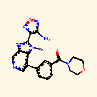 CCn1c(-c2nonc2N)nc2cncc(-c3cccc(C(=O)N4CCOCC4)c3)c21